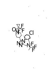 CC(N1Cc2cc(Cl)ccc2-n2c(nnc2C2CCN(C(=O)C3(C(F)(F)F)CC3)CC2)C1)C(F)(F)F